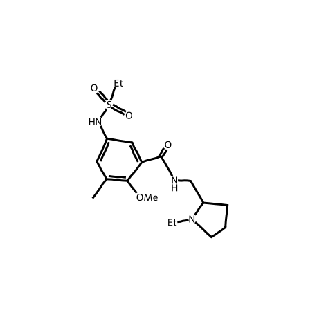 CCN1CCCC1CNC(=O)c1cc(NS(=O)(=O)CC)cc(C)c1OC